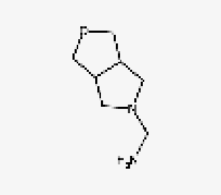 NCN1CC2COCC2C1